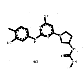 CCCc1cc(N2CCC(NC(=O)NCC)C2)nc(Nc2ccc(C)c(C#N)c2)n1.Cl